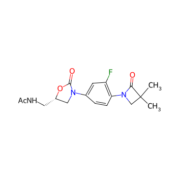 CC(=O)NC[C@H]1CN(c2ccc(N3CC(C)(C)C3=O)c(F)c2)C(=O)O1